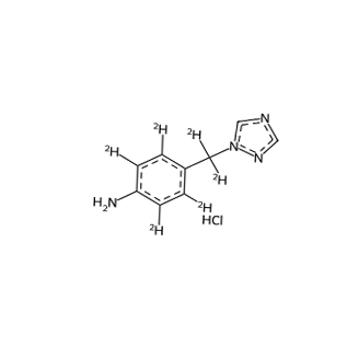 Cl.[2H]c1c([2H])c(C([2H])([2H])n2cncn2)c([2H])c([2H])c1N